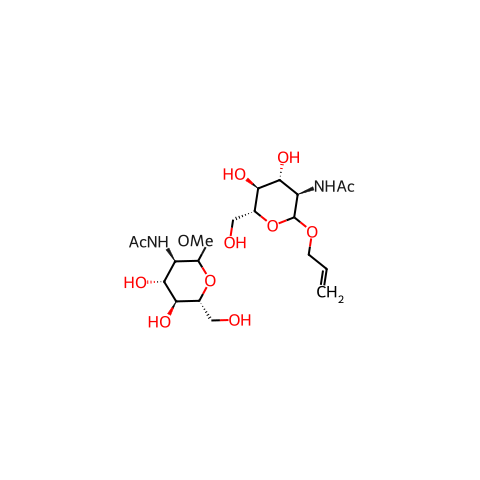 C=CCOC1O[C@H](CO)[C@@H](O)[C@H](O)[C@H]1NC(C)=O.COC1O[C@H](CO)[C@@H](O)[C@H](O)[C@H]1NC(C)=O